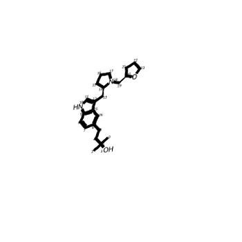 CC(C)(O)CCc1ccc2[nH]cc(C[C@H]3CCCN3C[C@H]3CCCO3)c2c1